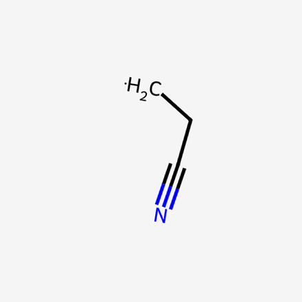 [CH2]CC#N